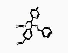 Cc1ccc(C(CN=O)C(/N=N/c2ccccc2)c2ccc(C=O)cc2)cc1